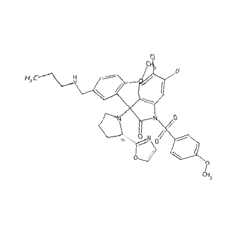 CCCNCc1ccc(OC)c(C2(N3CCC[C@H]3c3ncco3)C(=O)N(S(=O)(=O)c3ccc(OC)cc3)c3cc(Cl)c(Cl)cc32)c1